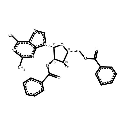 Nc1nc(Cl)c2ncn([C@@H]3O[C@H](COC(=O)c4ccccc4)[C@@H](F)[C@H]3OC(=O)c3ccccc3)c2n1